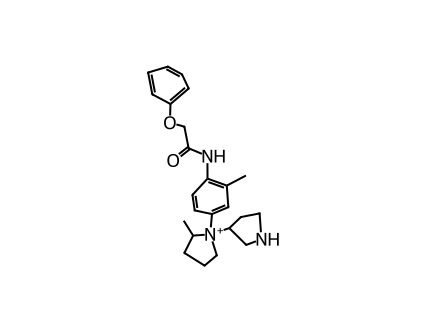 Cc1cc([N+]2(C3CCNC3)CCCC2C)ccc1NC(=O)COc1ccccc1